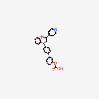 O=C(O)Oc1cccc(-c2ccc(C(C/C(=N\O)c3ccncc3)c3ccccc3)cc2)c1